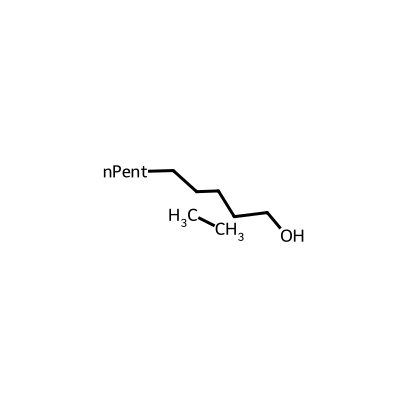 CC.CCCCCCCCCCO